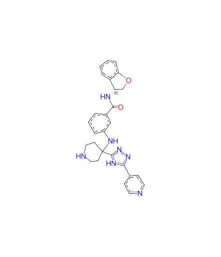 O=C(N[C@H]1COc2ccccc21)c1cccc(NC2(c3nnc(-c4ccncc4)[nH]3)CCNCC2)c1